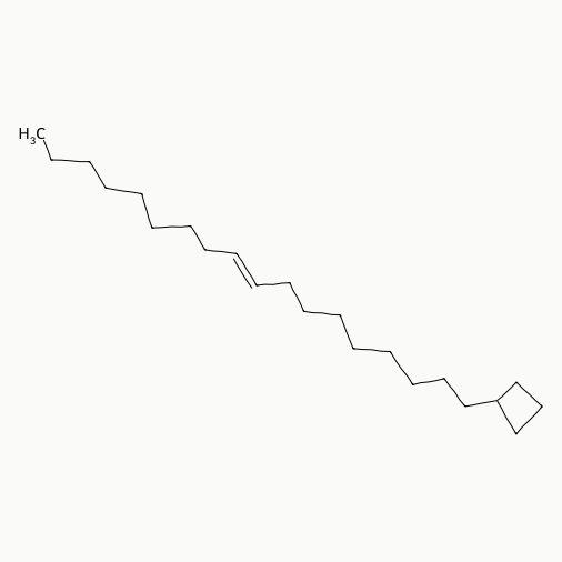 CCCCCCCCC=CCCCCCCCCC1CCC1